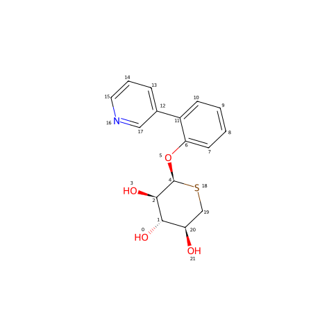 O[C@@H]1[C@@H](O)[C@@H](Oc2ccccc2-c2cccnc2)SC[C@H]1O